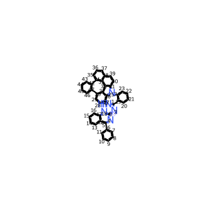 N=C(/N=c1/nc(-c2ccccc2)c2ccccc2[nH]1)c1ccccc1-n1c2cccc3c2c2c4c(cccc4ccc21)-c1ccccc1-3